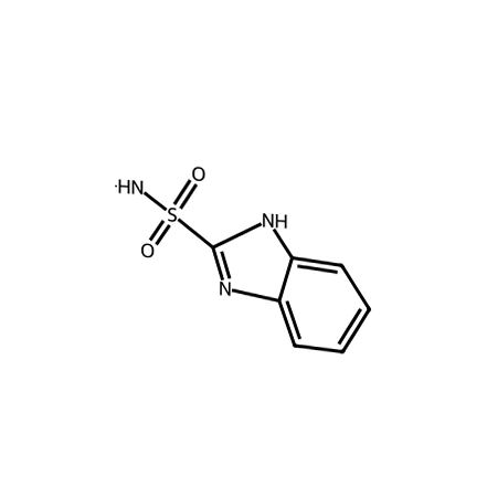 [NH]S(=O)(=O)c1nc2ccccc2[nH]1